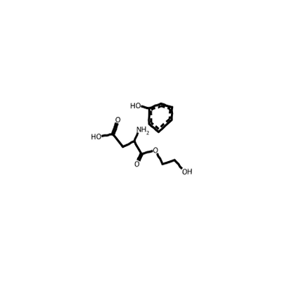 NC(CC(=O)O)C(=O)OCCO.Oc1ccccc1